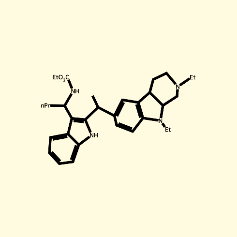 CCCC(NC(=O)OCC)c1c(C(C)c2ccc3c(c2)C2CCN(CC)CC2N3CC)[nH]c2ccccc12